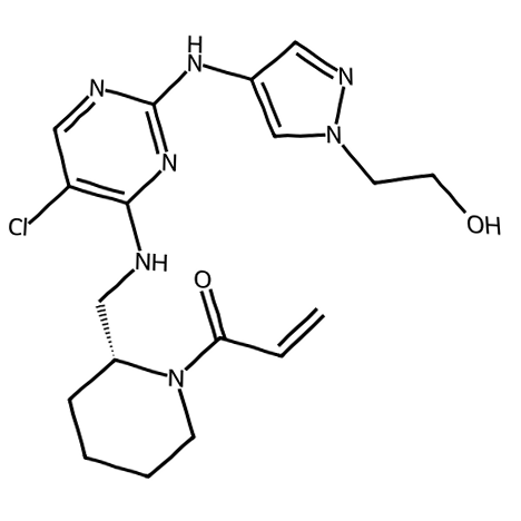 C=CC(=O)N1CCCC[C@@H]1CNc1nc(Nc2cnn(CCO)c2)ncc1Cl